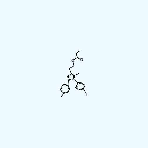 CCC(=O)OCCc1cc(-c2ccc(C)cc2)n(-c2ccc(F)cc2)c1C